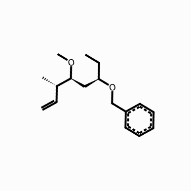 C=C[C@H](C)[C@H](C[C@@H](CC)OCc1ccccc1)OC